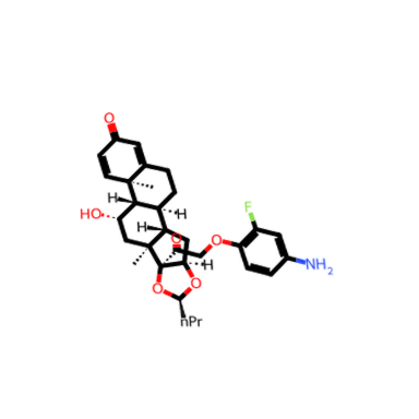 CCC[C@@H]1O[C@@H]2C[C@H]3[C@@H]4CCC5=CC(=O)C=C[C@]5(C)[C@H]4[C@@H](O)C[C@]3(C)[C@]2(C(=O)COc2ccc(N)cc2F)O1